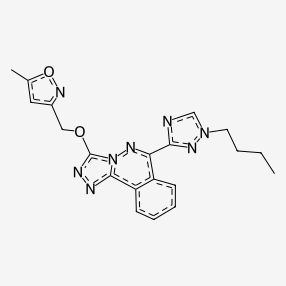 CCCCn1cnc(-c2nn3c(OCc4cc(C)on4)nnc3c3ccccc23)n1